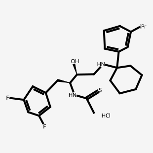 CC(=S)N[C@@H](Cc1cc(F)cc(F)c1)[C@@H](O)CNC1(c2cccc(C(C)C)c2)CCCCC1.Cl